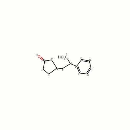 O=C1CCC(CC(C(=O)O)c2ccccc2)C1